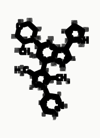 Cc1nn(-c2ccnnc2)c(C)c1-c1cc(N2CCOC[C@H]2C)nc2c(-c3ccc[nH]3)cnn12